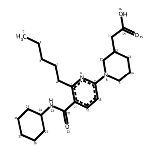 CCCCCc1nc(N2CCCC(CC(=O)O)C2)ccc1C(=O)NC1CCCCC1